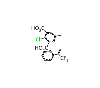 C=C(c1ccccc1)C(F)(F)F.Cc1cc(C(=O)O)c(Cl)c(C(=O)O)c1